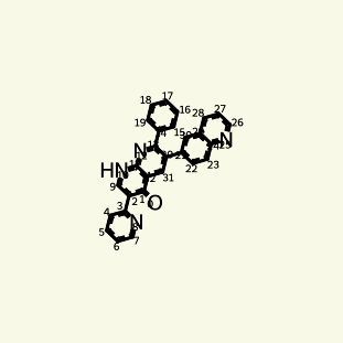 O=c1c(-c2ccccn2)c[nH]c2nc(-c3ccccc3)c(-c3ccc4ncccc4c3)cc12